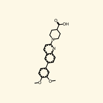 COc1ccc(-c2ccc3nc(N4CCC(C(=O)O)CC4)ccc3c2)cc1OC